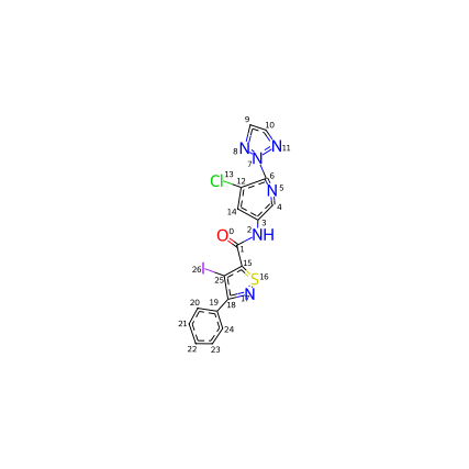 O=C(Nc1cnc(-n2nccn2)c(Cl)c1)c1snc(-c2ccccc2)c1I